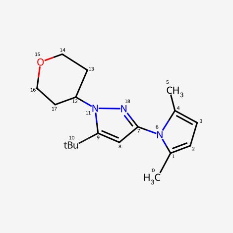 Cc1ccc(C)n1-c1cc(C(C)(C)C)n(C2CCOCC2)n1